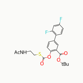 CC(=O)NCCSC(=O)Oc1ccc(-c2ccc(F)cc2F)cc1C(=O)OC(C)(C)C